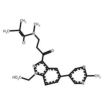 CC(C)=C(Cl)N(C)CCC(=O)c1nn(CC(=O)O)c2ccc(-c3cnc(C)nc3)cc12